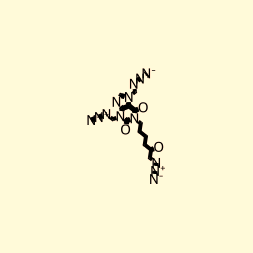 [N-]=[N+]=NCC(=O)CCCCn1c(=O)c2c(ncn2CN=[N+]=[N-])n(CN=[N+]=[N-])c1=O